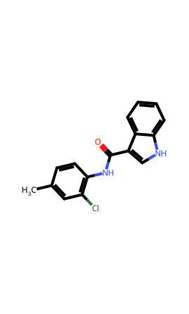 Cc1ccc(NC(=O)c2c[nH]c3ccccc23)c(Cl)c1